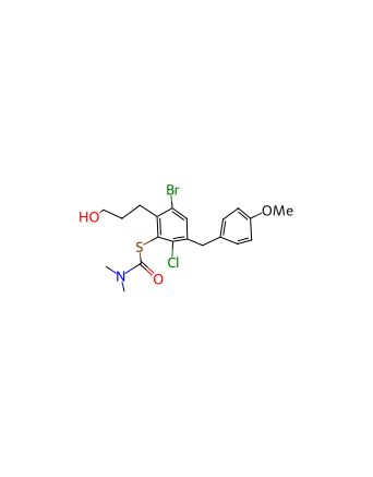 COc1ccc(Cc2cc(Br)c(CCCO)c(SC(=O)N(C)C)c2Cl)cc1